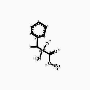 CC(c1ccccc1)[N+](N)([O-])C(=O)OC(C)(C)C